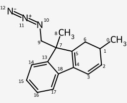 CC1C=CC2=C(C1)C(C)(CN=[N+]=[N-])c1ccccc12